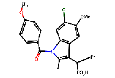 COc1cc2c(C(C(=O)O)C(C)C)c(C)n(C(=O)c3ccc(OC(F)(F)F)cc3)c2cc1Cl